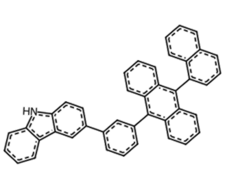 c1cc(-c2ccc3[nH]c4ccccc4c3c2)cc(-c2c3ccccc3c(-c3cccc4ccccc34)c3ccccc23)c1